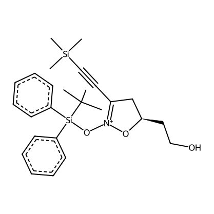 CC(C)(C)[Si](O[N+]1=C(C#C[Si](C)(C)C)C[C@@H](CCO)O1)(c1ccccc1)c1ccccc1